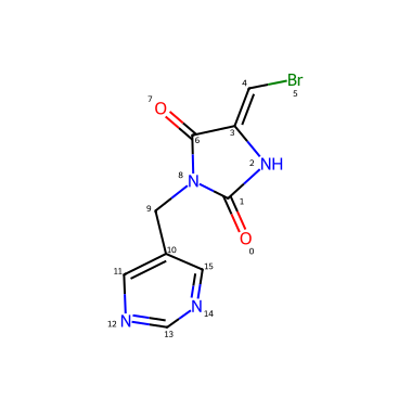 O=C1NC(=CBr)C(=O)N1Cc1cncnc1